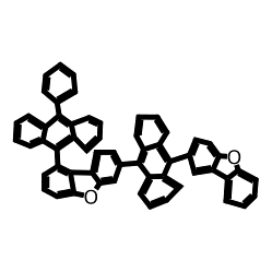 c1ccc(-c2c3ccccc3c(-c3cccc4oc5cc(-c6c7ccccc7c(-c7ccc8oc9ccccc9c8c7)c7ccccc67)ccc5c34)c3ccccc23)cc1